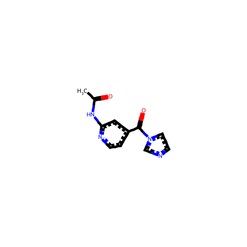 CC(=O)Nc1cc(C(=O)n2ccnc2)ccn1